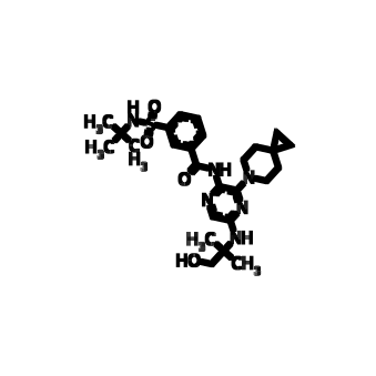 CC(C)(C)NS(=O)(=O)c1cccc(C(=O)Nc2ncc(NC(C)(C)CO)nc2N2CCC3(CC2)CC3)c1